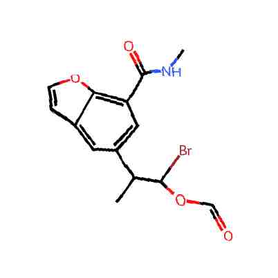 CNC(=O)c1cc(C(C)C(Br)OC=O)cc2ccoc12